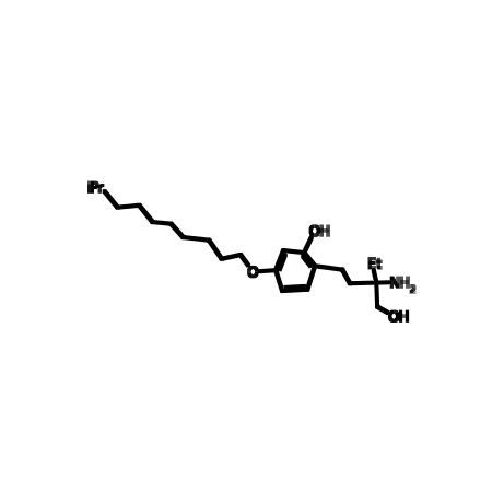 CCC(N)(CO)CCc1ccc(OCCCCCCCCC(C)C)cc1O